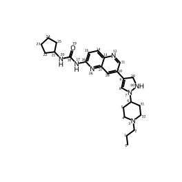 CCCN1CCC(N2C=C(c3cnc4ccc(NC(=O)NC5CCCC5)nc4c3)CN2)CC1